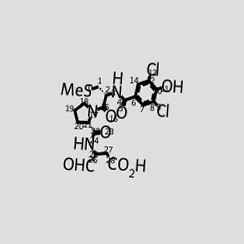 CSC[C@H](NC(=O)c1cc(Cl)c(O)c(Cl)c1)C(=O)N1CCC[C@H]1C(=O)N[C@H](C=O)CC(=O)O